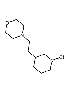 CCN1CCCC(CCN2CCOCC2)C1